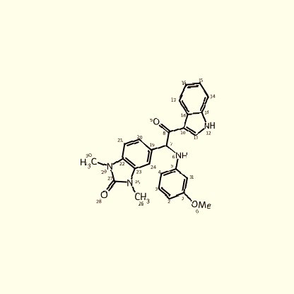 COc1cccc(NC(C(=O)c2c[nH]c3ccccc23)c2ccc3c(c2)n(C)c(=O)n3C)c1